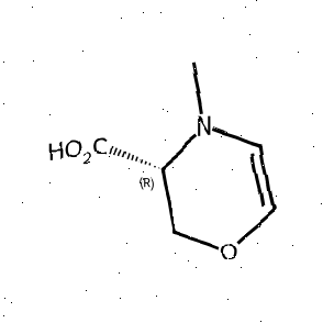 CN1C=COC[C@@H]1C(=O)O